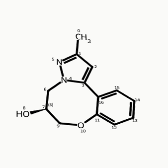 Cc1cc2n(n1)C[C@H](O)COc1ccccc1-2